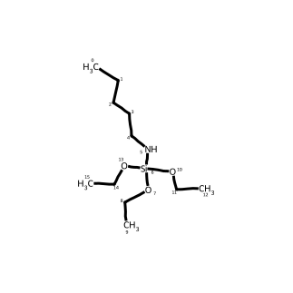 CCCCCN[Si](OCC)(OCC)OCC